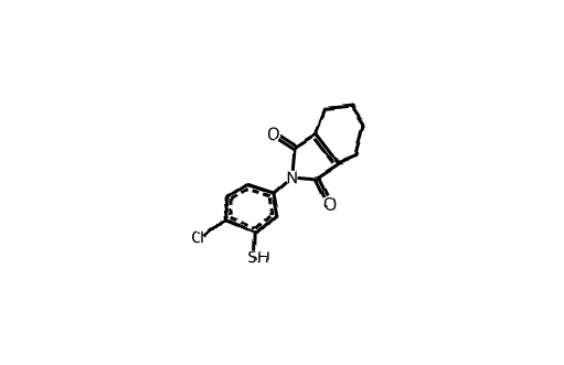 O=C1C2=C(CCCC2)C(=O)N1c1ccc(Cl)c(S)c1